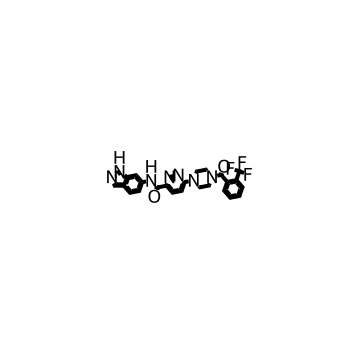 O=C(Nc1ccc2cn[nH]c2c1)c1ccc(N2CCN(C(=O)c3ccccc3C(F)(F)F)CC2)nn1